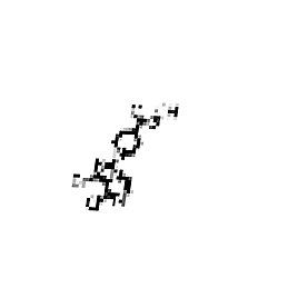 COC(=O)C1CCN(c2nc(Br)c3c(Cl)nccn23)CC1